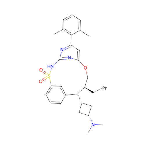 Cc1cccc(C)c1-c1cc2nc(n1)NS(=O)(=O)c1cccc(c1)C([C@H]1C[C@@H](N(C)C)C1)[C@H](CC(C)C)CO2